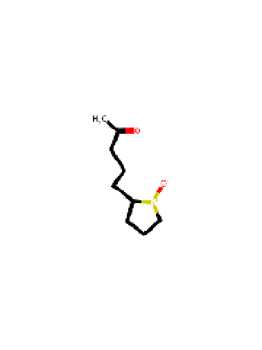 CC(=O)CCCC1CCC[S+]1[O-]